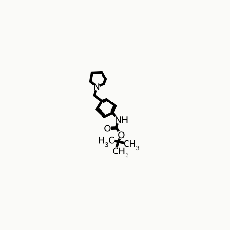 CC(C)(C)OC(=O)Nc1ccc(CN2CCCCC2)cc1